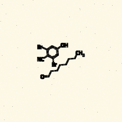 CCCCCCCC=O.N#Cc1c(Br)cc(O)cc1Br